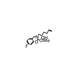 C=CCCC(O)CN(Cc1ccc(F)cc1)C(=O)OC